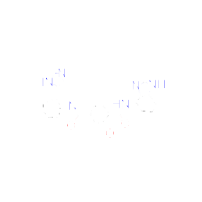 COc1cc(C(=O)N2CCc3nc(C)[nH]c3-c3ccccc32)ccc1C(=O)Nc1cccc2[nH]c(C)nc12